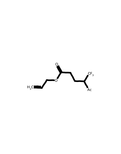 C=CCOC(=O)CCC(C(C)=O)C(F)(F)F